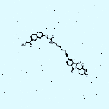 CC(C)(C)CC(=O)N1CCc2ccc(OCC(=O)NCCCCCC#Cc3ccc4c(c3)C(=O)N(C3CCC(=O)NC3=O)C4=O)cc2C1